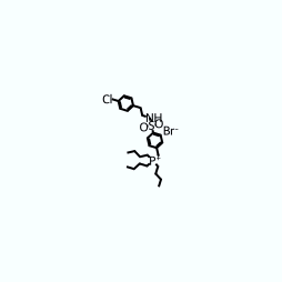 CCCC[P+](CCCC)(CCCC)Cc1ccc(S(=O)(=O)NCCc2ccc(Cl)cc2)cc1.[Br-]